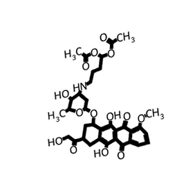 COc1cccc2c1C(=O)c1c(O)c3c(c(O)c1C2=O)CC(C(=O)CO)CC3OC1CC(NCCCC(OC(C)=O)OC(C)=O)C(O)C(C)O1